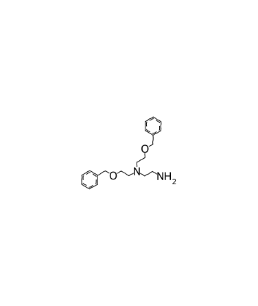 NCCN(CCOCc1ccccc1)CCOCc1ccccc1